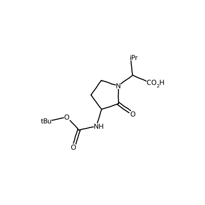 CC(C)C(C(=O)O)N1CCC(NC(=O)OC(C)(C)C)C1=O